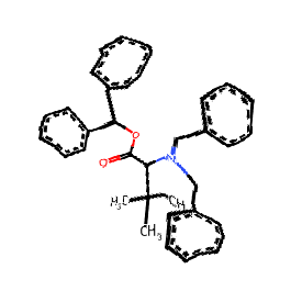 CC(C)(C)C(C(=O)OC(c1ccccc1)c1ccccc1)N(Cc1ccccc1)Cc1ccccc1